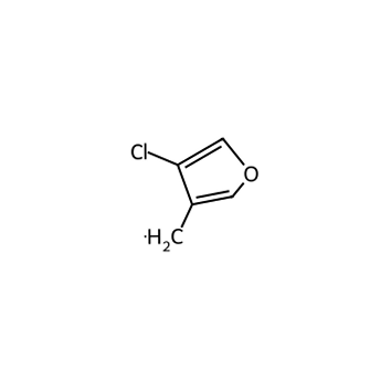 [CH2]c1cocc1Cl